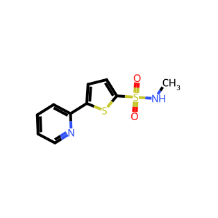 CNS(=O)(=O)c1ccc(-c2ccccn2)s1